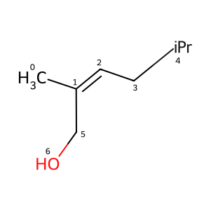 CC(=CCC(C)C)CO